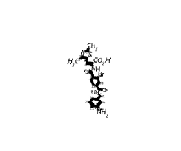 Cc1nc(C)c(C=C(NC(=O)c2ccc(C(=O)NCc3cccc(N)c3)cc2Br)C(=O)O)s1